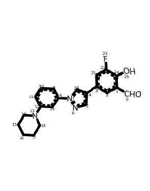 O=Cc1cc(-c2cnn(-c3cccc(N4CCCCC4)c3)c2)cc(F)c1O